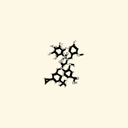 COc1cc(F)ccc1CN(CC(=O)N(Cc1cc(C2CC2)cc(C(C)(C)C)c1)c1ccc(C(=O)O)cc1OC)S(=O)(=O)c1c(F)c(F)c(F)c(F)c1F